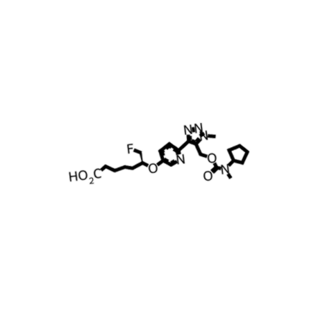 CN(C(=O)OCc1c(-c2ccc(O[C@H](CF)CCCCC(=O)O)cn2)nnn1C)C1CCCC1